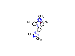 Cc1nc(C)nc(-c2ccc3c4ccccc4n(-c4ccc(C#N)cc4-c4nc(C)nc(C)n4)c3c2)n1